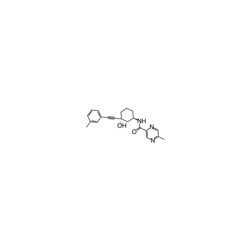 Cc1cccc(C#C[C@@]2(O)CCC[C@@H](NC(=O)c3cnc(C)cn3)C2)c1